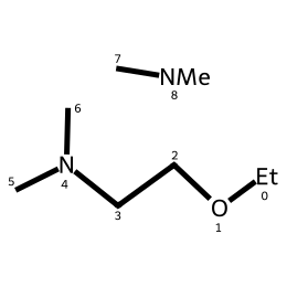 CCOCCN(C)C.CNC